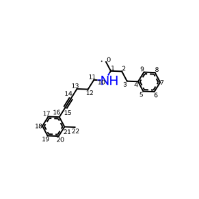 [CH2]C(CCc1ccccc1)NCCCC#Cc1ccccc1C